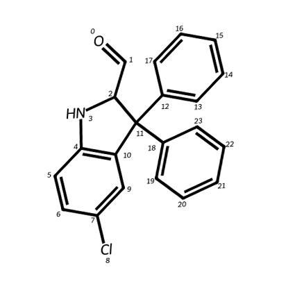 O=CC1Nc2ccc(Cl)cc2C1(c1ccccc1)c1ccccc1